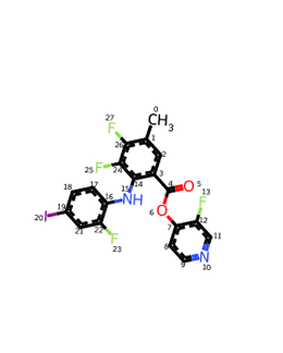 Cc1cc(C(=O)Oc2ccncc2F)c(Nc2ccc(I)cc2F)c(F)c1F